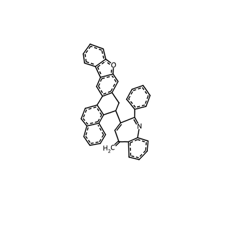 C=C1C=C(C2Cc3cc4oc5ccccc5c4cc3-c3ccc4ccccc4c32)C(c2ccccc2)=Nc2ccccc21